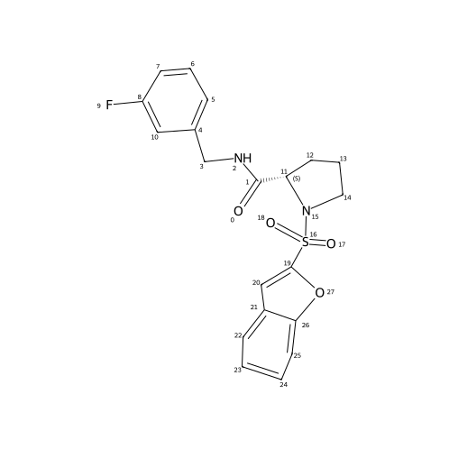 O=C(NCc1cccc(F)c1)[C@@H]1CCCN1S(=O)(=O)c1cc2ccccc2o1